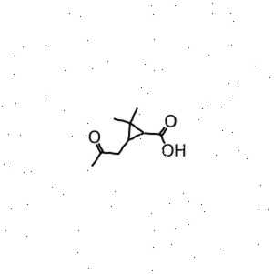 CC(=O)CC1C(C(=O)O)C1(C)C